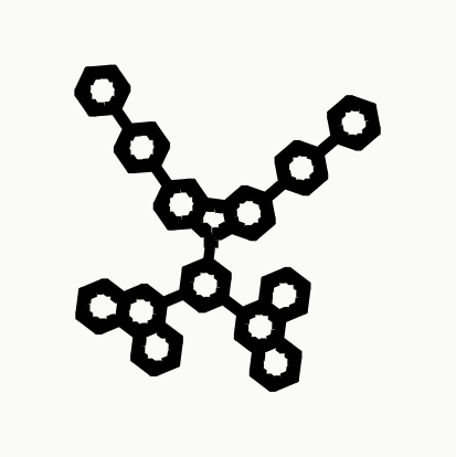 c1ccc(-c2ccc(-c3ccc4c(c3)c3cc(-c5ccc(-c6ccccc6)cc5)ccc3n4-c3cc(-c4cc5ccccc5c5ccccc45)cc(-c4cc5ccccc5c5ccccc45)c3)cc2)cc1